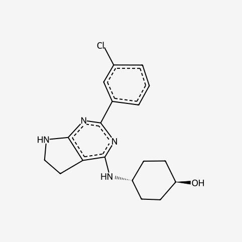 O[C@H]1CC[C@H](Nc2nc(-c3cccc(Cl)c3)nc3c2CCN3)CC1